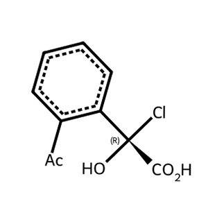 CC(=O)c1ccccc1[C@@](O)(Cl)C(=O)O